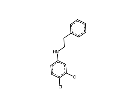 Clc1ccc(NCCc2ccccc2)cc1Cl